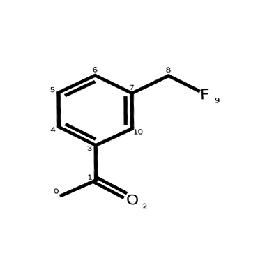 CC(=O)c1cccc(CF)c1